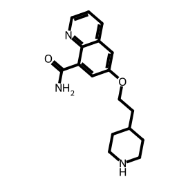 NC(=O)c1cc(OCCC2CCNCC2)cc2cccnc12